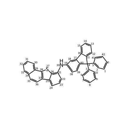 c1ccc(C2(c3ccccc3)c3ccccc3-c3cc(Nc4cccc5c4sc4c6ccccc6ccc54)ccc32)cc1